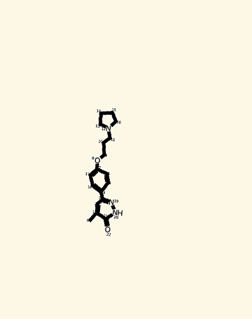 Cc1cc(-c2ccc(OCCCN3CCCC3)cc2)n[nH]c1=O